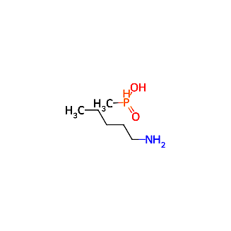 CCCCCN.C[PH](=O)O